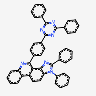 c1ccc(-c2nc(-c3ccccc3)nc(-c3ccc(-c4nc5ccccc5c5ccc6c(nc(-c7ccccc7)n6-c6ccccc6)c45)cc3)n2)cc1